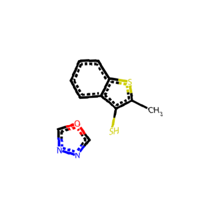 Cc1sc2ccccc2c1S.c1nnco1